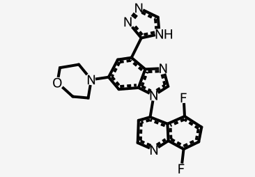 Fc1ccc(F)c2c(-n3cnc4c(-c5nnc[nH]5)cc(N5CCOCC5)cc43)ccnc12